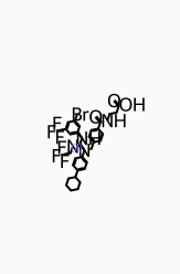 O=C(O)CCNC(=O)c1ccc(CN(/C(=N\CC(F)(F)F)Nc2cc(Br)cc(C(F)(F)F)c2)c2ccc(C3CCCCC3)cc2)cc1